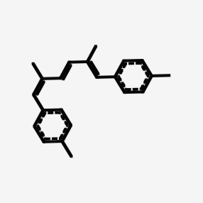 CC(C=CC(C)=Cc1ccc(C)cc1)=Cc1ccc(C)cc1